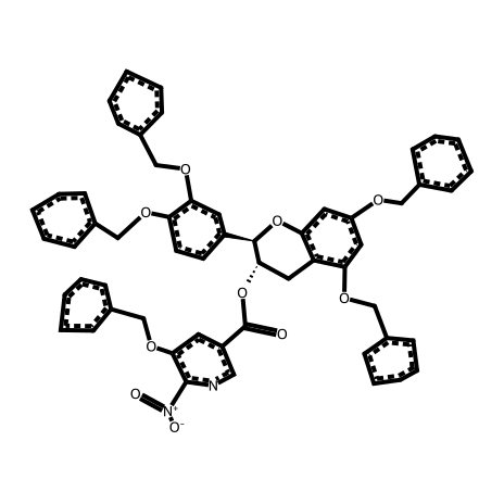 O=C(O[C@H]1Cc2c(OCc3ccccc3)cc(OCc3ccccc3)cc2O[C@@H]1c1ccc(OCc2ccccc2)c(OCc2ccccc2)c1)c1cnc([N+](=O)[O-])c(OCc2ccccc2)c1